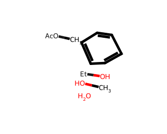 CCO.CO.COC(C)=O.O.c1ccccc1